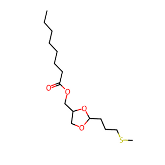 CCCCCCCC(=O)OCC1COC(CCCSC)O1